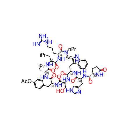 CCCN(C(C)=O)C(=O)[C@H](CCCNC(=N)N)NC(=O)[C@H](CC(C)C)NC(=O)[C@@H](CC(C)C)NC(=O)[C@H](Cc1ccc(OC(C)=O)cc1)NC(=O)[C@H](CO)NC(=O)[C@H](Cc1c[nH]c2ccccc12)NC(=O)[C@H](Cc1c[nH]cn1)NC(=O)[C@@H]1CCC(=O)N1